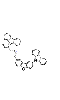 C=CC(C/C=C\Cc1ccc2oc3ccc(-n4c5ccccc5c5ccccc54)cc3c2c1)n1c2ccccc2c2ccccc21